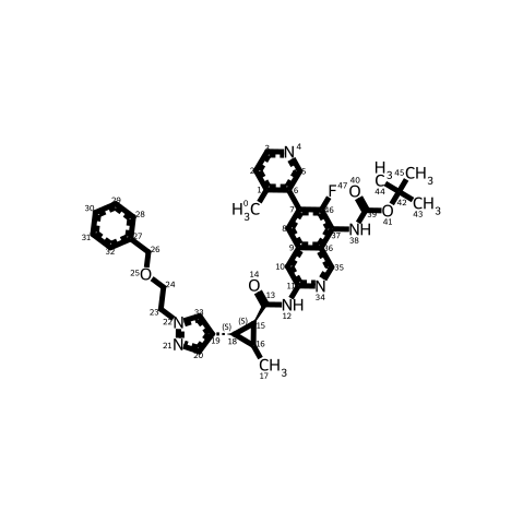 Cc1ccncc1-c1cc2cc(NC(=O)[C@H]3C(C)[C@@H]3c3cnn(CCOCc4ccccc4)c3)ncc2c(NC(=O)OC(C)(C)C)c1F